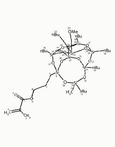 C=C(C)C(=O)OCCC[Si]12O[Si](C)(CCCC)O[Si]3(CCCC)O[Si]4(CCCC)O[Si](CCCC)(OC)O[Si](CCCC)(O1)O[Si](CCCC)(O4)O[Si](CCCC)(O3)O2